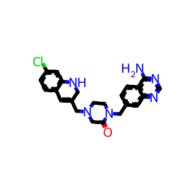 Nc1ncnc2cc(CN3CCN(CC4=Cc5ccc(Cl)cc5NC4)CC3=O)ccc12